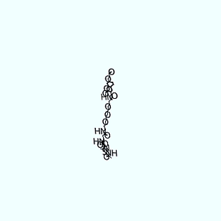 CC(=O)Nc1nc(S(=O)(=O)NCCC(=O)NCCCOCCOCCOCCCNC(=O)c2cc3ccc(OCC=O)cc3oc2=O)c(C)s1